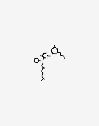 CCCCC1=CC(C)=CC=C(Bc2ncc(C)c(N(CCC(=O)CCCC(C)C)C3CCCC3)n2)C1